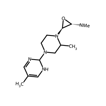 CN[C@H]1O[C@@H]1N1CCN(C2N=CC(C)=CN2)CC1C